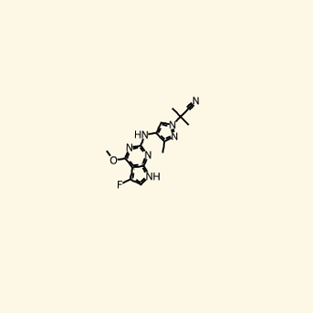 COc1nc(Nc2cn(C(C)(C)C#N)nc2C)nc2[nH]cc(F)c12